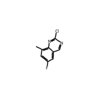 Cc1cc(F)cc2cnc(Cl)nc12